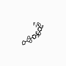 Fc1cc(OC(F)(F)c2ccc(C3OCC(C4CCCC4)CO3)cc2)ccc1OC(F)(F)F